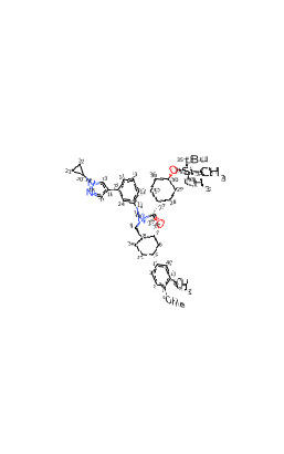 COc1ccc([C@H]2CC[C@H](CN(c3cccc(-c4cnn(C5CC5)c4)c3)C(=O)[C@H]3CC[C@H](O[Si](C)(C)C(C)(C)C)CC3)CC2)cc1C